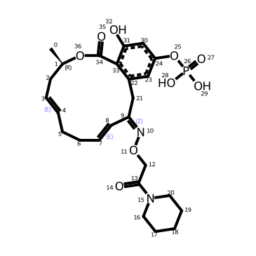 C[C@@H]1C/C=C/CC/C=C/C(=N\OCC(=O)N2CCCCC2)Cc2cc(OP(=O)(O)O)cc(O)c2C(=O)O1